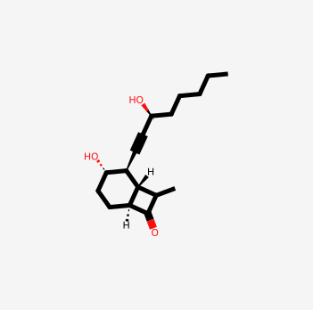 CCCCC[C@H](O)C#C[C@H]1[C@@H]2C(C)C(=O)[C@H]2CC[C@@H]1O